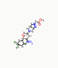 COC(=O)Cn1cc2c(n1)CN([C@H]1COC(c3cc(F)c(F)cc3F)[C@@H](N)C1)C2